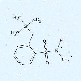 CCN(C)S(=O)(=O)c1ccccc1[CH2][Sn]([CH3])([CH3])[CH3]